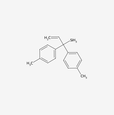 C=CC([SiH3])(c1ccc(C)cc1)c1ccc(C)cc1